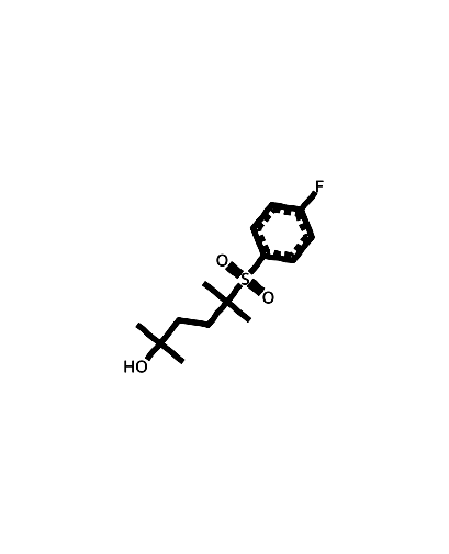 CC(C)(O)CCC(C)(C)S(=O)(=O)c1ccc(F)cc1